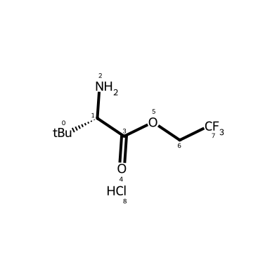 CC(C)(C)[C@H](N)C(=O)OCC(F)(F)F.Cl